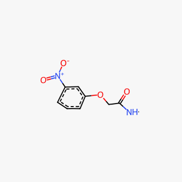 [NH]C(=O)COc1cccc([N+](=O)[O-])c1